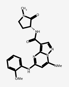 CNc1cc(Nc2ccccc2OC)nc2c(C(=O)N[C@@H]3CCN(C)C3=O)cnn12